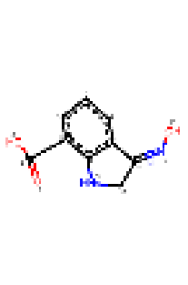 O=C(O)c1cccc2c1NC/C2=N/O